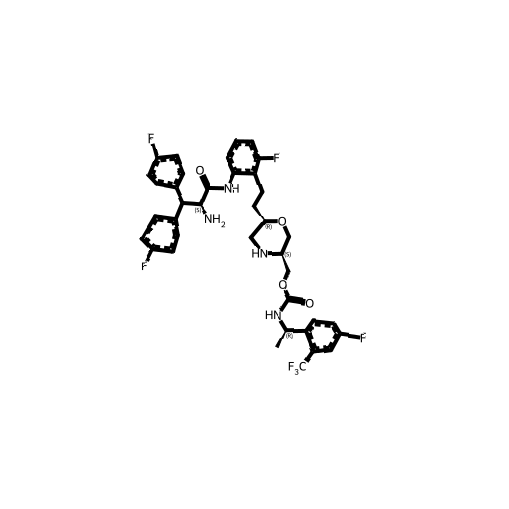 C[C@@H](NC(=O)OC[C@@H]1CO[C@H](CCc2c(F)cccc2NC(=O)[C@@H](N)C(c2ccc(F)cc2)c2ccc(F)cc2)CN1)c1ccc(F)cc1C(F)(F)F